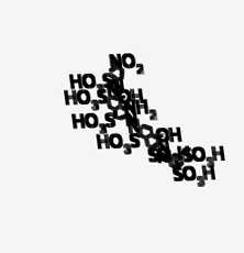 Nc1c(N=Nc2ccc3c(O)c(N=Nc4cc(S(=O)(=O)O)cc(S(=O)(=O)O)c4)c(S(=O)(=O)O)cc3c2S(=O)(=O)O)cc(S(=O)(=O)O)c2cc(S(=O)(=O)O)c(N=Nc3ccc([N+](=O)[O-])cc3S(=O)(=O)O)c(O)c12